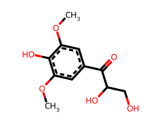 COc1cc(C(=O)C(O)CO)cc(OC)c1O